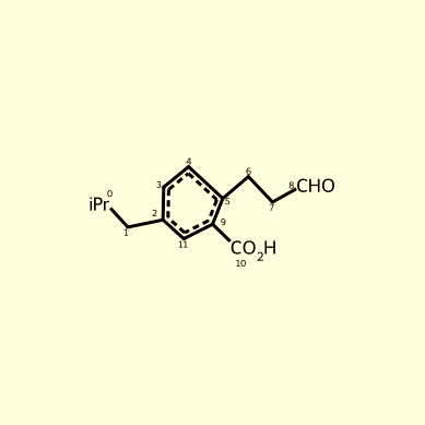 CC(C)Cc1ccc(CCC=O)c(C(=O)O)c1